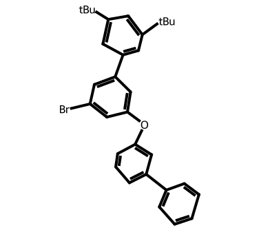 CC(C)(C)c1cc(-c2cc(Br)cc(Oc3cccc(-c4ccccc4)c3)c2)cc(C(C)(C)C)c1